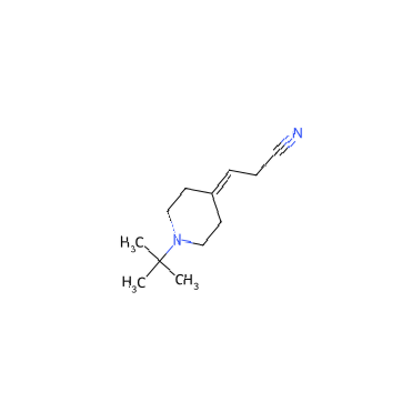 CC(C)(C)N1CCC(=CCC#N)CC1